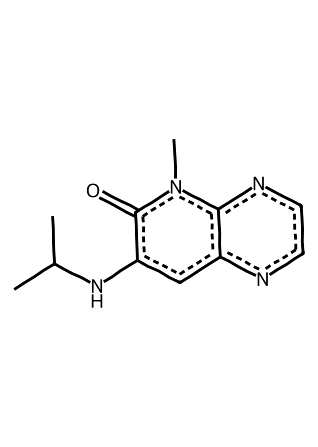 CC(C)Nc1cc2nccnc2n(C)c1=O